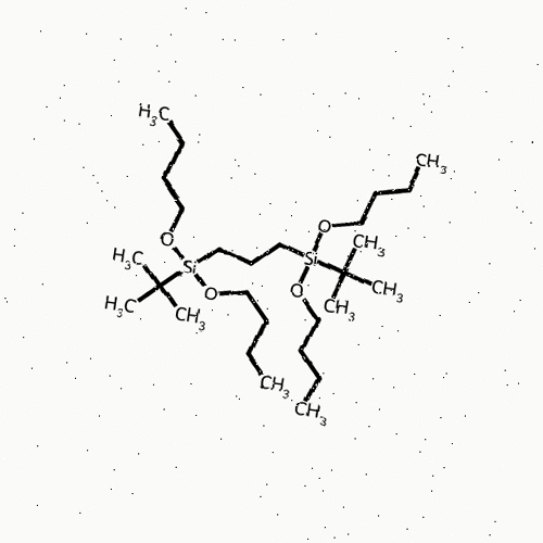 CCCCO[Si](CCC[Si](OCCCC)(OCCCC)C(C)(C)C)(OCCCC)C(C)(C)C